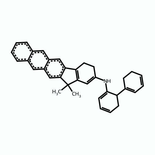 CC1(C)C2=C(CCC(NC3=CC=CCC3C3=CC=CCC3)=C2)c2cc3cc4ccccc4cc3cc21